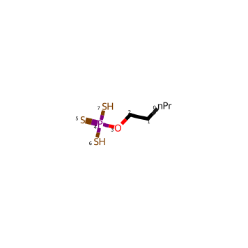 CCCCCOP(=S)(S)S